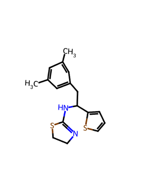 Cc1cc(C)cc(CC(NC2=NCCS2)c2cccs2)c1